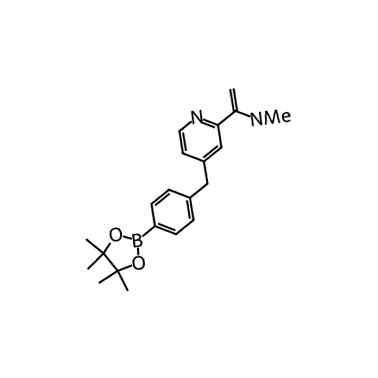 C=C(NC)c1cc(Cc2ccc(B3OC(C)(C)C(C)(C)O3)cc2)ccn1